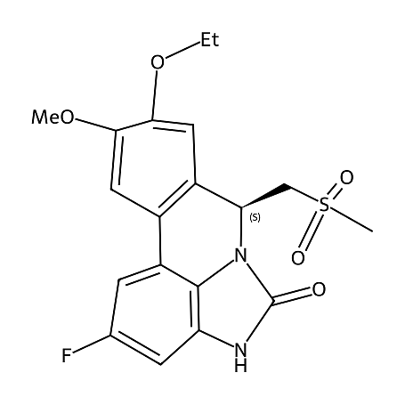 CCOc1cc2c(cc1OC)-c1cc(F)cc3[nH]c(=O)n(c13)[C@@H]2CS(C)(=O)=O